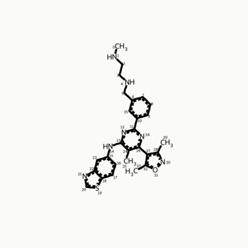 CNCCNCc1cccc(-c2nc(Nc3ccc4scnc4c3)c(C)c(-c3c(C)noc3C)n2)c1